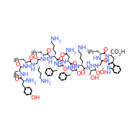 CC(C)C[C@H](NC(=O)[C@H](CO)NC(=O)[C@@H](NC(=O)[C@H](CCCCN)NC(=O)[C@H](Cc1ccccc1)NC(=O)[C@H](CC(N)=O)NC(=O)[C@H](Cc1ccccc1)NC(=O)[C@H](CCCCN)NC(=O)[C@H](CC(C)C)NC(=O)[C@H](CCCCN)NC(=O)[C@H](CC(C)C)NC(=O)[C@H](CC(C)C)NC(=O)[C@@H](N)Cc1ccc(O)cc1)[C@@H](C)O)C(=O)N[C@@H](Cc1c[nH]c2ccccc12)C(=O)O